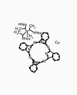 CCCCCCC(C)[N+](C)(C(C)CCCCCC)C(C)CCCCCC.[Cu].c1ccc2c(c1)-c1nc-2nc2[nH]c(nc3nc(nc4[nH]c(n1)c1ccccc41)-c1ccccc1-3)c1ccccc21